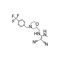 CNC(NCC1CN(Cc2ccc(C(F)(F)F)cc2)CCO1)=C(C#N)C#N